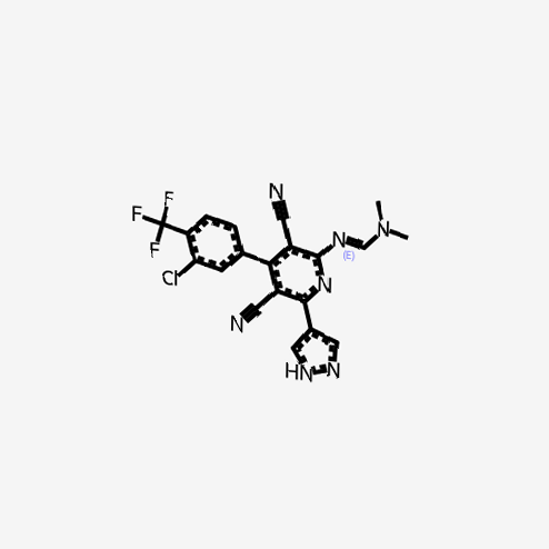 CN(C)/C=N/c1nc(-c2cn[nH]c2)c(C#N)c(-c2ccc(C(F)(F)F)c(Cl)c2)c1C#N